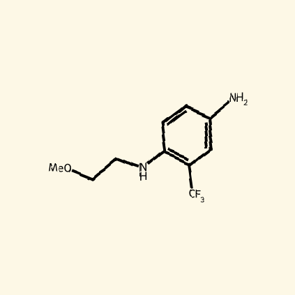 COCCNc1ccc(N)cc1C(F)(F)F